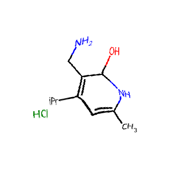 CC1=CC(C(C)C)=C(CN)C(O)N1.Cl